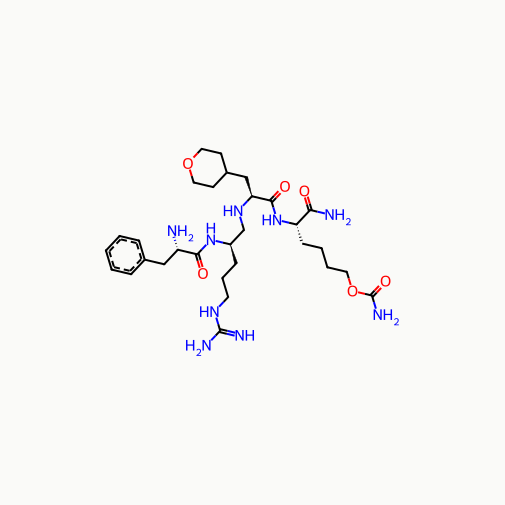 N=C(N)NCCC[C@H](CN[C@@H](CC1CCOCC1)C(=O)N[C@@H](CCCCOC(N)=O)C(N)=O)NC(=O)[C@@H](N)Cc1ccccc1